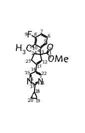 COC(=O)C1(c2cccc(F)c2C)C=C(c2cnc(C3CC3)nc2)CC1